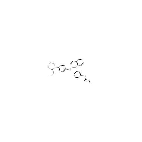 C=CC(=O)Nc1cccc([C@H]2c3ccncc3C=CN2Nc2ccc(N3CCOCC3CN)cc2)c1